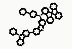 c1ccc(-c2ccc(N(c3ccc4oc5ccc(-c6ccc7c(c6)c6ccccc6n7-c6ccccc6)cc5c4c3)c3cccc4c3-c3ccccc3C43c4ccccc4-c4ccccc43)cc2)cc1